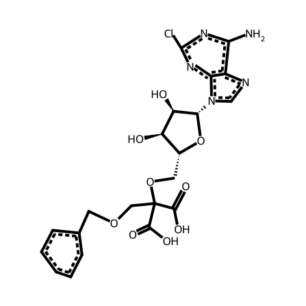 Nc1nc(Cl)nc2c1ncn2[C@@H]1O[C@H](COC(COCc2ccccc2)(C(=O)O)C(=O)O)[C@@H](O)[C@H]1O